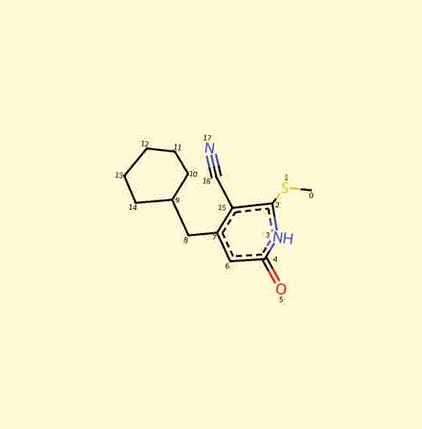 CSc1[nH]c(=O)cc(CC2CCCCC2)c1C#N